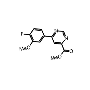 COC(=O)c1cc(-c2ccc(F)c(OC)c2)ncn1